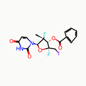 C[C@]1(F)[C@H](n2ccc(=O)[nH]c2=O)O[C@](F)(CI)[C@H]1OC(=O)c1ccccc1